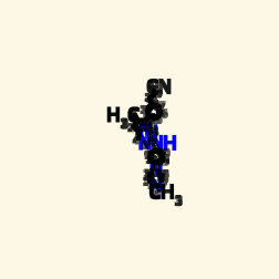 Cc1cc2cnc(Nc3ccc(N4CCN(C)CC4)cc3)nn2c1-c1cccc(CCC#N)c1